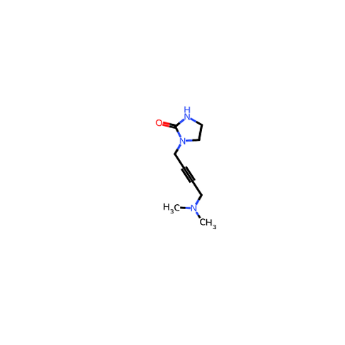 CN(C)CC#CCN1CCNC1=O